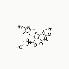 Cc1nn(C(C)C)c(C)c1Cc1sc2c(c1C(=O)N1C[C@H](O)CO1)c(=O)n(C)c(=O)n2CC(C)C